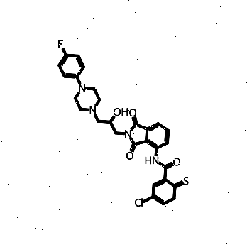 O=C(Nc1cccc2c1C(=O)N(CC(O)CN1CCN(c3ccc(F)cc3)CC1)C2=O)C1=CC(Cl)=CCC1=S